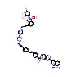 CC12C=CC=CC1=CC(c1ncc3c(n1)CN(C(=O)c1ccc(/C=C/c4ccc(C#CCN5CCN(C6CCN(CC#Cc7cccc8c7CN(C7CCC(=O)NC7=O)C8O)CC6)CC5)cc4)cc1)CC3)=CN2